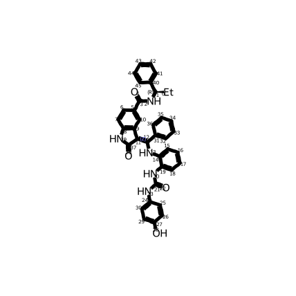 CC[C@@H](NC(=O)c1ccc2c(c1)/C(=C(/Nc1ccccc1NC(=O)Nc1ccc(O)cc1)c1ccccc1)C(=O)N2)c1ccccc1